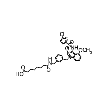 COc1cccc2c1c(NS(=O)(=O)c1ccc(Cl)s1)nn2Cc1cccc(CNC(=O)CCCCCCC(=O)O)c1